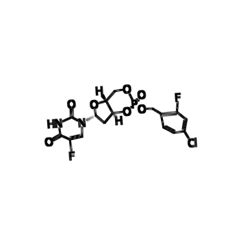 O=c1[nH]c(=O)n([C@H]2C[C@@H]3OP(=O)(OCc4ccc(Cl)cc4F)OC[C@H]3O2)cc1F